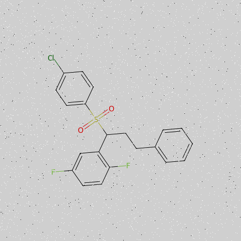 O=S(=O)(c1ccc(Cl)cc1)C(CCc1ccccc1)c1cc(F)ccc1F